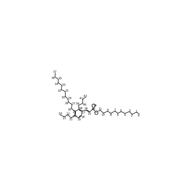 CCCCCCCCCCCCOC(=O)C=Cc1ccc(CCCC)c(CCCCCCCCCCCC)c1CCCC